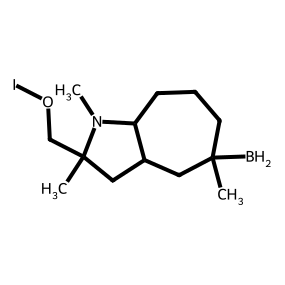 BC1(C)CCCC2C(C1)CC(C)(COI)N2C